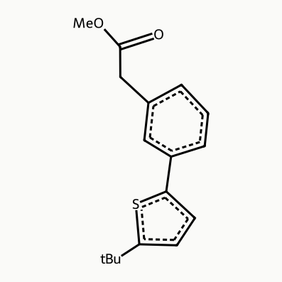 COC(=O)Cc1cccc(-c2ccc(C(C)(C)C)s2)c1